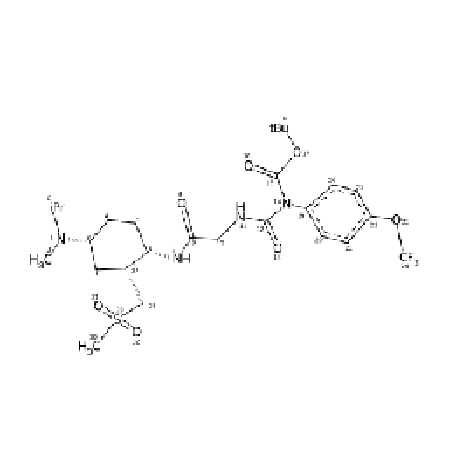 CC(C)N(C)[C@@H]1CC[C@H](NC(=O)CNC(=O)N(C(=O)OC(C)(C)C)c2ccc(OC(F)(F)F)cc2)[C@H](CS(C)(=O)=O)C1